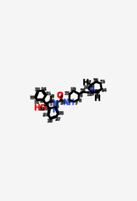 C[C@@H](NC(=O)NC1CCC(CCN2[C@@H]3CCC[C@H]2CC3)CC1)C(O)(c1ccccc1)c1ccccc1